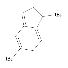 CC(C)(C)C1=CC2=CC=C(C(C)(C)C)C2=CC1